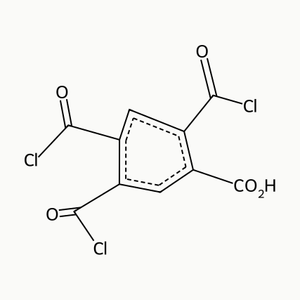 O=C(O)c1cc(C(=O)Cl)c(C(=O)Cl)cc1C(=O)Cl